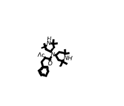 CC(=O)C(Cc1ccccc1)C(=O)N(C1CC(C)(C)NC(C)(C)C1)C1CC(C)(C)NC(C)(C)C1